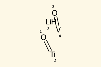 [LiH].[O]=[Ti].[O]=[V]